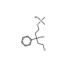 CC(C)(C)[Si](C)(C)OCCC(O)(CCCl)c1ccccc1